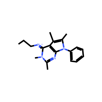 CCC/N=c1/c2c(C)c(C)n(-c3ccccc3)c2nc(C)n1C